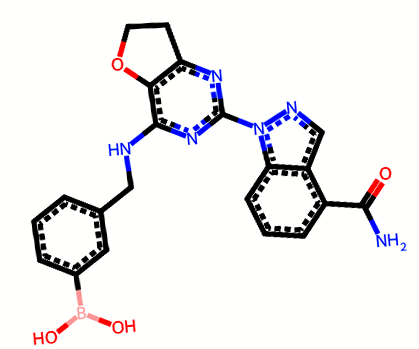 NC(=O)c1cccc2c1cnn2-c1nc2c(c(NCc3cccc(B(O)O)c3)n1)OCC2